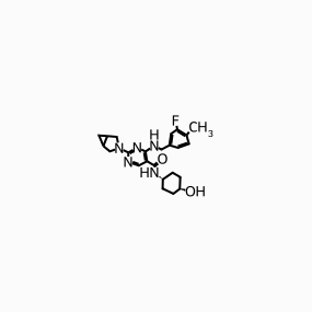 Cc1ccc(CNc2nc(N3CC4CC4C3)ncc2C(=O)N[C@H]2CC[C@H](O)CC2)cc1F